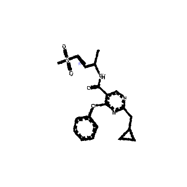 CC(/C=C/S(C)(=O)=O)NC(=O)c1cnc(CC2CC2)nc1Oc1ccccc1